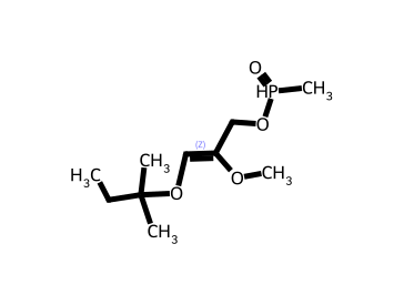 CCC(C)(C)O/C=C(/CO[PH](C)=O)OC